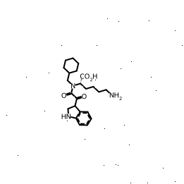 NCCCC[C@@H](C(=O)O)N(CC1CCCCC1)C(=O)C(=O)C1CNc2ccccc21